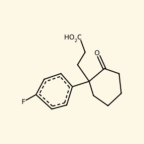 O=C(O)CCC1(c2ccc(F)cc2)CCCCC1=O